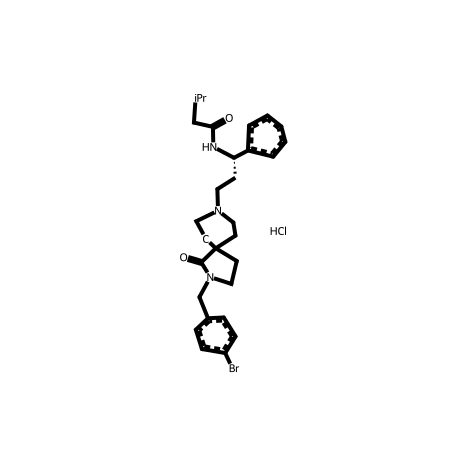 CC(C)CC(=O)N[C@@H](CCN1CCC2(CC1)CCN(Cc1ccc(Br)cc1)C2=O)c1ccccc1.Cl